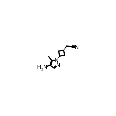 Cc1c(N)cnn1[C@H]1C[C@H](CC#N)C1